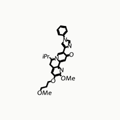 COCCCOc1cc2c(nc1OC)-c1cc(=O)c(-c3cn(-c4ccccc4)cn3)cn1[C@H](C(C)C)C2